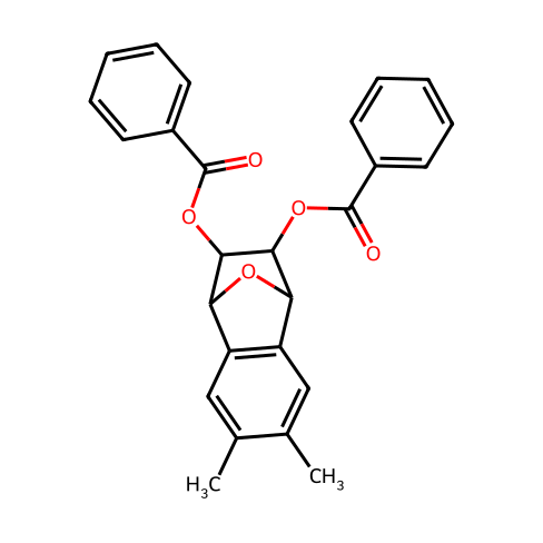 Cc1cc2c(cc1C)C1OC2C(OC(=O)c2ccccc2)C1OC(=O)c1ccccc1